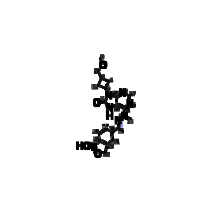 COCC1CC(n2c(=O)[nH]c3c(N(C)/N=C/c4ccc5c(c4)COB5O)ncnc32)C1